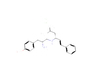 CC(C)C[C@@H](C=Cc1ccccc1)NC[C@@H](N)Cc1ccc(O)cc1.Cl.Cl